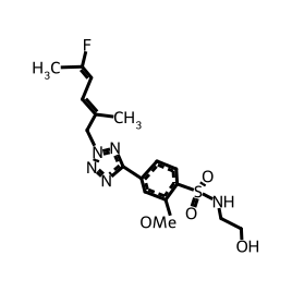 COc1cc(-c2nnn(C/C(C)=C/C=C(\C)F)n2)ccc1S(=O)(=O)NCCO